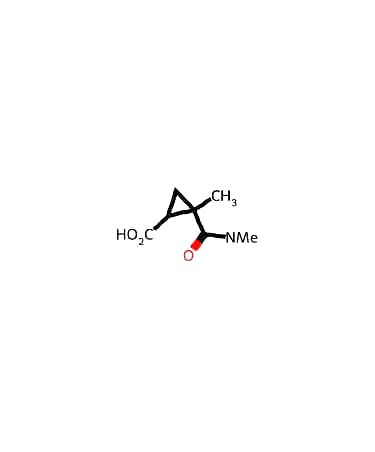 CNC(=O)C1(C)CC1C(=O)O